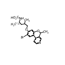 CC(COc1cc2c(cc1Br)-c1ccncc1C(C)O2)C[C@H](C)NC(=O)O